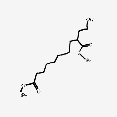 CC(C)OC(=O)CCCCCCCC(CCO)C(=O)OC(C)C